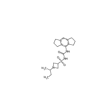 CCC(C)N1CC(S(=O)(=O)NC(=O)Nc2c3c(cc4c2CCC4)CCC3)C1